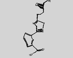 O=C(O)CCc1nc(-c2cccc(C(=O)O)c2)ns1